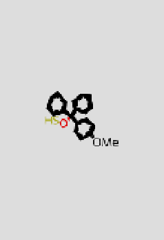 COc1ccc(C(OS)(c2ccccc2)c2ccccc2)cc1